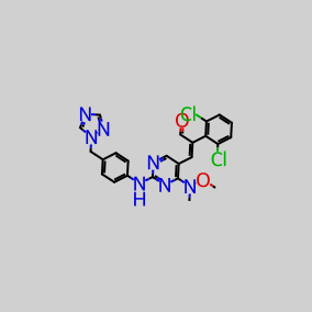 CON(C)c1nc(Nc2ccc(Cn3cncn3)cc2)ncc1/C=C(\C=O)c1c(Cl)cccc1Cl